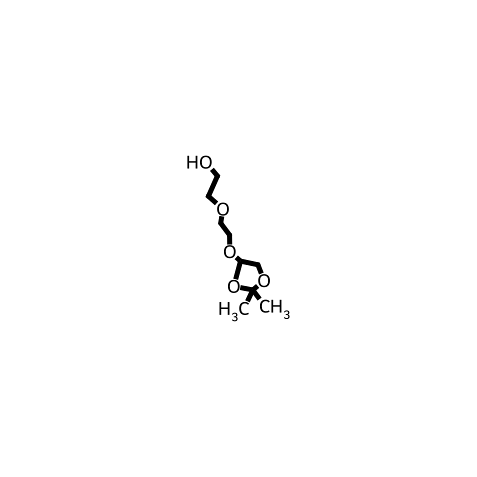 CC1(C)OCC(OCCOCCO)O1